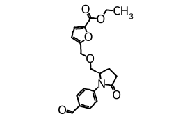 CCOC(=O)c1ccc(COC[C@H]2CCC(=O)N2c2ccc(C=O)cc2)o1